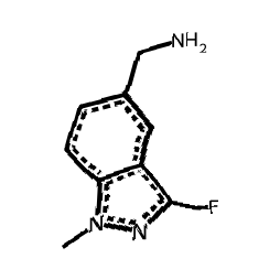 Cn1nc(F)c2cc(CN)ccc21